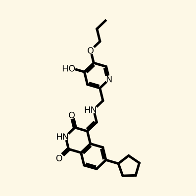 CCCOc1cnc(CN/C=C2\C(=O)NC(=O)c3ccc(C4CCCC4)cc32)cc1O